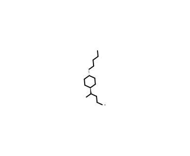 [CH2]CCC(C)[C@H]1CC[C@H](CCCCC)CC1